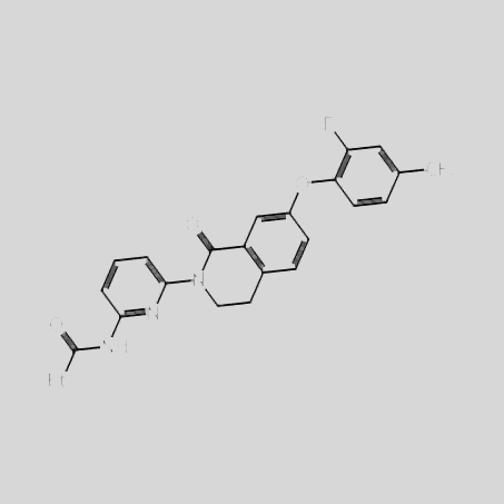 CCC(=O)Nc1cccc(N2CCc3ccc(Oc4ccc(C(F)(F)F)cc4F)cc3C2=O)n1